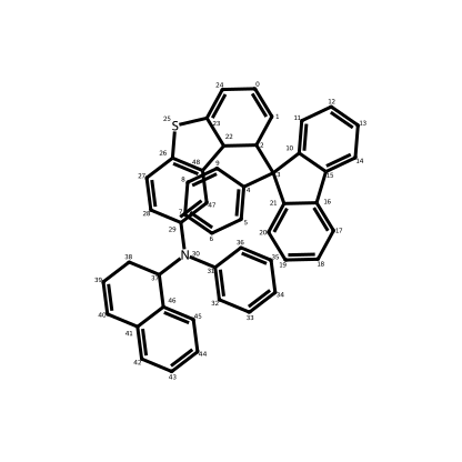 C1=CC(C2(c3ccccc3)c3ccccc3-c3ccccc32)C2C(=C1)Sc1ccc(N(c3ccccc3)C3CC=Cc4ccccc43)cc12